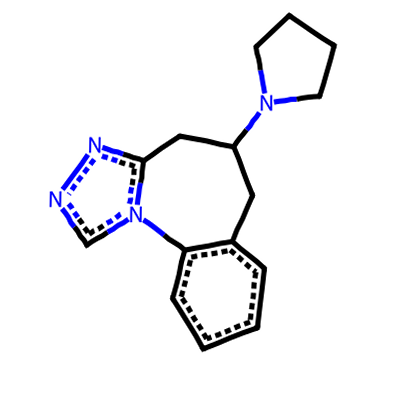 c1ccc2c(c1)CC(N1CCCC1)Cc1nncn1-2